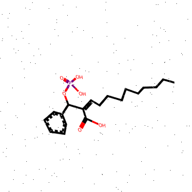 CCCCCCCCCC=C(C(=O)O)C(OP(=O)(O)O)c1ccccc1